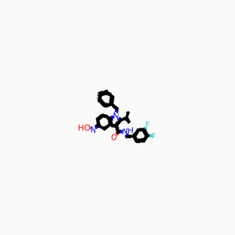 CC(C)c1c(C(=O)NCc2ccc(F)c(F)c2)c2c(n1Cc1ccccc1)CC/C(=N\O)C2